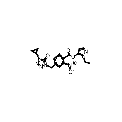 CCn1nccc1OC(=O)c1ccc(Cn2nnn(C3CC3)c2=O)cc1[N+](=O)[O-]